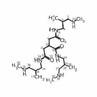 CNCC(C)CNC(=O)CC(CC(=O)NCC(C)CNC)C(=O)NC[C@@H](C)CNC